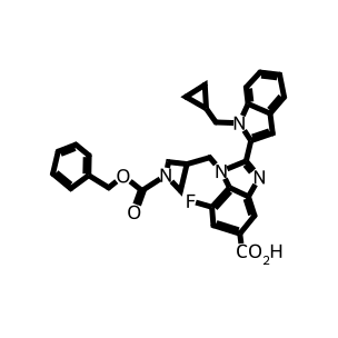 O=C(O)c1cc(F)c2c(c1)nc(-c1cc3ccccc3n1CC1CC1)n2CC1CN(C(=O)OCc2ccccc2)C1